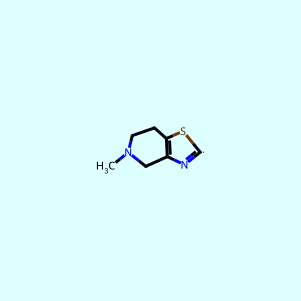 CN1CCc2s[c]nc2C1